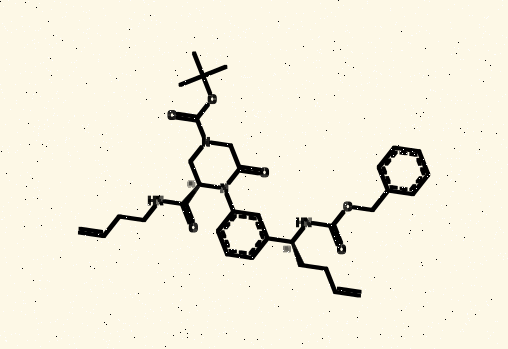 C=CCCNC(=O)[C@H]1CN(C(=O)OC(C)(C)C)CC(=O)N1c1cccc([C@H](CCC=C)NC(=O)OCc2ccccc2)c1